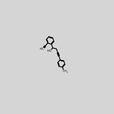 C#Cc1ccccc1C(O)CC#Cc1ccc(C)cc1